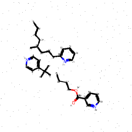 CC(C)(C)c1ccncc1.CCCCC(C)CCCc1ccccn1.CCCCOC(=O)c1cccnc1